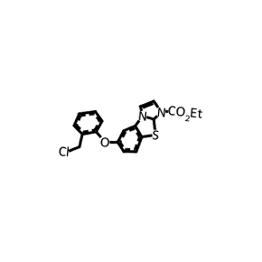 CCOC(=O)N1C=CN2c3cc(Oc4ccccc4CCl)ccc3SC12